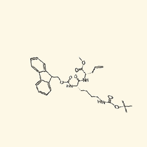 C=CC[C@H](NC(=O)[C@H](CCCCNC(=O)OC(C)(C)C)NC(=O)OCC1c2ccccc2-c2ccccc21)C(=O)OC